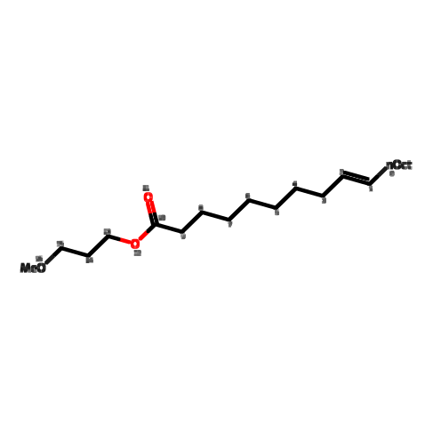 CCCCCCCC/C=C/CCCCCCCC(=O)OCCCOC